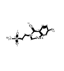 CS(=O)(=O)CCN1CNc2cc(Br)ccc2C1=O